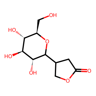 O=C1CC(C2O[C@H](CO)[C@@H](O)[C@H](O)[C@H]2O)CO1